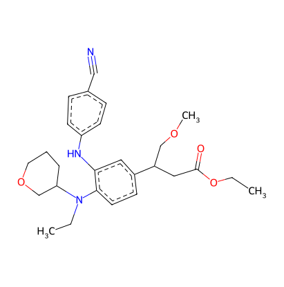 CCOC(=O)CC(COC)c1ccc(N(CC)C2CCCOC2)c(Nc2ccc(C#N)cc2)c1